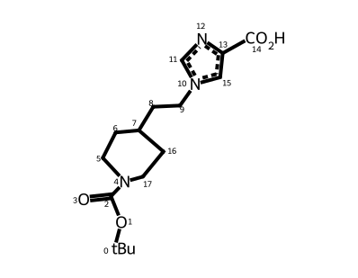 CC(C)(C)OC(=O)N1CCC(CCn2cnc(C(=O)O)c2)CC1